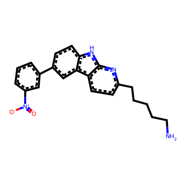 NCCCCCc1ccc2c(n1)[nH]c1ccc(-c3cccc([N+](=O)[O-])c3)cc12